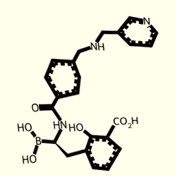 O=C(N[C@@H](Cc1cccc(C(=O)O)c1O)B(O)O)c1ccc(CNCc2cccnc2)cc1